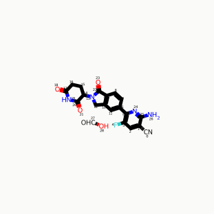 N#Cc1cc(F)c(-c2ccc3c(c2)CN(C2CCC(=O)NC2=O)C3=O)nc1N.O=CO